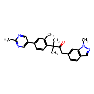 Cc1ncc(-c2ccc(C(C)(C)C(=O)Cc3ccc4cnn(C)c4c3)c(C)c2)cn1